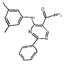 Cc1cc(C)cc(Nc2nc(-c3ccccc3)ncc2C(N)=O)c1